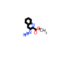 COC(=O)c1nc2ccccc2cc1N=[N+]=[N-]